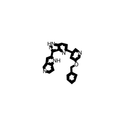 c1ccc(COc2cncc(-c3ccc4[nH]nc(-c5cc6cnccc6[nH]5)c4n3)c2)cc1